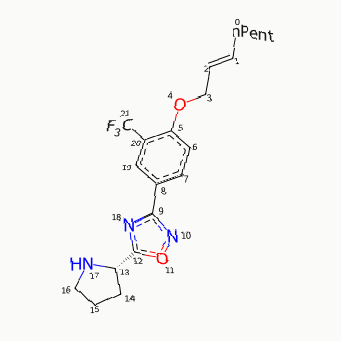 CCCCC/C=C/COc1ccc(-c2noc([C@@H]3CCCN3)n2)cc1C(F)(F)F